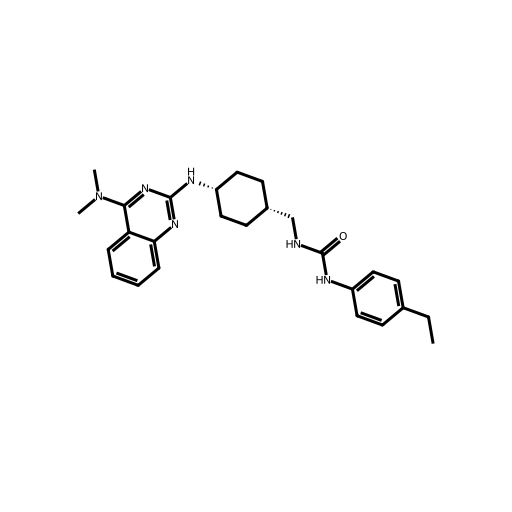 CCc1ccc(NC(=O)NC[C@H]2CC[C@@H](Nc3nc(N(C)C)c4ccccc4n3)CC2)cc1